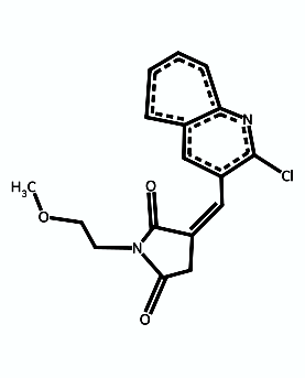 COCCN1C(=O)C/C(=C/c2cc3ccccc3nc2Cl)C1=O